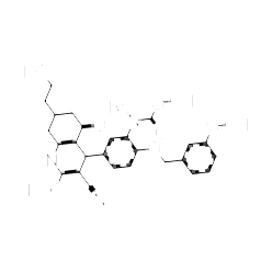 CCCC1CC(=O)C2=C(C1)NC(C)=C(C#N)C2c1ccc(OCc2cccc(OC)c2)c(N(Br)C(=O)OC)c1